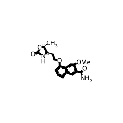 COc1cc2c(OCC[C@H]3NC(=O)O[C@@H]3C)cccc2cc1C(N)=O